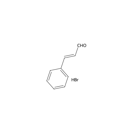 Br.O=CC=Cc1ccccc1